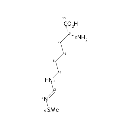 CSN=CNCCCC[C@@H](N)C(=O)O